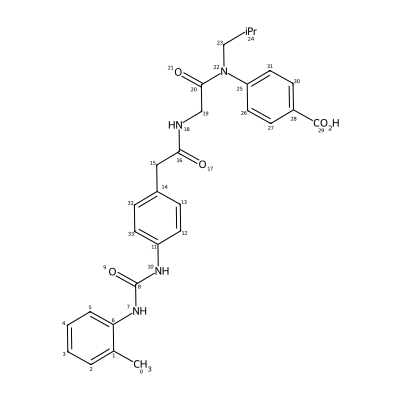 Cc1ccccc1NC(=O)Nc1ccc(CC(=O)NCC(=O)N(CC(C)C)c2ccc(C(=O)O)cc2)cc1